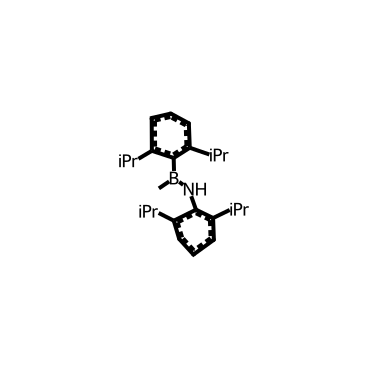 CB(Nc1c(C(C)C)cccc1C(C)C)c1c(C(C)C)cccc1C(C)C